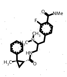 CNC(=O)c1ccc(CC(CNC(=O)[C@@H]2C[C@]2(C)c2ccccc2)N(C)C)cc1F